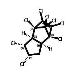 ClC1=C(Cl)[C@]2(Cl)[C@H]3C[C@H](Cl)[C@H](Cl)[C@H]3[C@@]1(Cl)C2(Cl)Cl